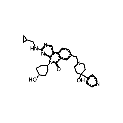 O=c1c2cc(CN3CCC(O)(c4ccncc4)CC3)ccc2c2cnc(NCC3CC3)nc2n1[C@H]1CC[C@H](O)CC1